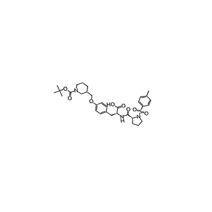 Cc1ccc(S(=O)(=O)N2CCC[C@H]2C(=O)N[C@@H](Cc2ccc(OCC3CCCN(C(=O)OC(C)(C)C)C3)cc2)C(=O)O)cc1